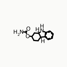 NC(=O)OC1CC[C@H]2c3ccccc3N[C@H]2C1